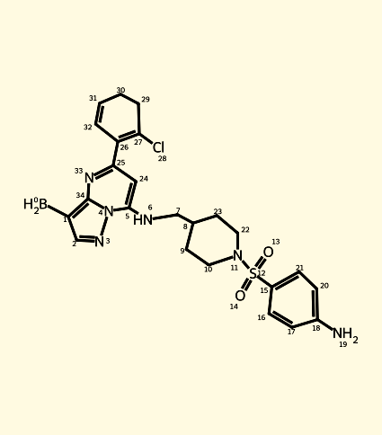 Bc1cnn2c(NCC3CCN(S(=O)(=O)c4ccc(N)cc4)CC3)cc(C3=C(Cl)CCC=C3)nc12